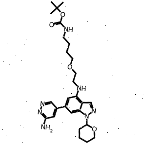 CC(C)(C)OC(=O)NCCCCOCCNc1cc(-c2cnnc(N)c2)cc2c1cnn2C1CCCCO1